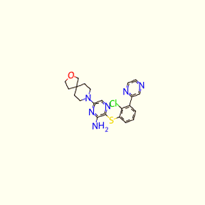 Nc1nc(N2CCC3(CCOC3)CC2)cnc1Sc1cccc(-c2cnccn2)c1Cl